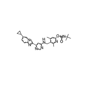 Cc1cc(OC(=O)NC(C)(C)C)nc(C)c1CNc1cc(-c2cn3cc(C4CC4)ccc3n2)ncn1